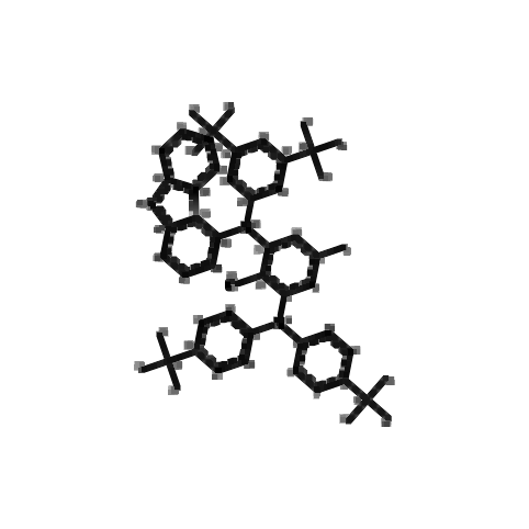 Cc1cc(N(c2ccc(C(C)(C)C)cc2)c2ccc(C(C)(C)C)cc2)c(Cl)c(N(c2cc(C(C)(C)C)cc(C(C)(C)C)c2)c2cccc3sc4ccccc4c23)c1